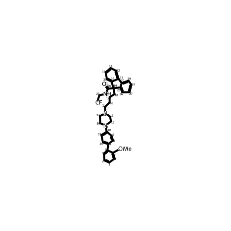 COc1ccccc1-c1ccc(N2CCN(CCCCC3(C(=O)NCC(F)(F)F)c4ccccc4-c4ccccc43)CC2)cc1